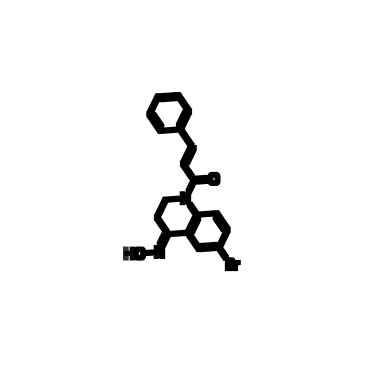 O=C(C=Cc1ccccc1)N1CCC(=NO)c2cc(Br)ccc21